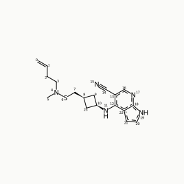 C=CCCN(C)SC[C@H]1C[C@@H](Nc2c(C#N)cnc3[nH]ccc23)C1